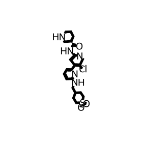 O=C(Nc1cc(-c2cccc(NCC3CCS(=O)(=O)CC3)n2)c(Cl)cn1)[C@@H]1CCCNC1